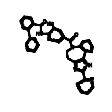 O=C(Nc1ccc(C(=O)N2CCc3nc(-c4ccccn4)[nH]c3-c3ccccc32)cc1O)c1ccccc1-c1ccccc1